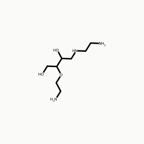 NCCNCC(O)C(CO)OCCN